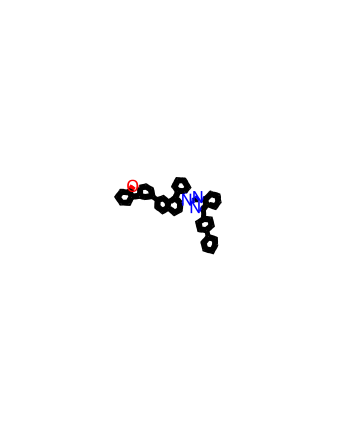 c1ccc(-c2ccc(-c3nc(-n4c5ccccc5c5c6cc(-c7ccc8oc9ccccc9c8c7)ccc6ccc54)nc4ccccc34)cc2)cc1